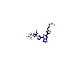 COCCn1cc(-c2cc3nccn3c(-c3cnn(C4(CCF)CN(S(=O)(=O)C(F)(F)F)C4)c3)n2)cn1